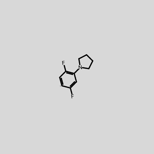 Fc1[c]cc(F)c(N2CCCC2)c1